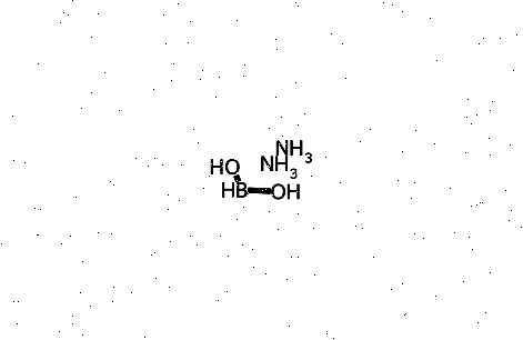 N.N.OBO